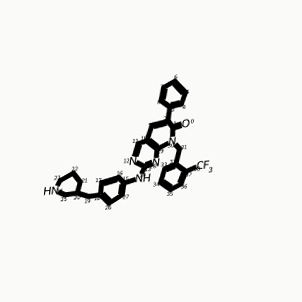 O=c1c(-c2ccccc2)cc2cnc(Nc3ccc(CC4CCCNC4)cc3)nc2n1Cc1ccccc1C(F)(F)F